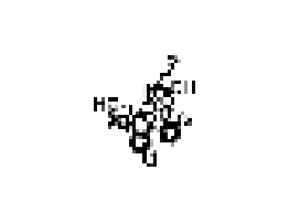 COc1cccc([C@H]2O[C@H](CC(=O)N[C@H](CCSC)C(=O)O)C(=O)N(CC(C)(C)CO)c3ccc(Cl)cc32)c1OC